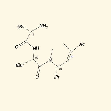 CC(=O)/C(C)=C/[C@H](C(C)C)N(C)C(=O)[C@@H](NC(=O)[C@@H](N)C(C)(C)C)C(C)(C)C